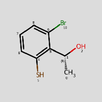 C[C@@H](O)c1c(S)cccc1Br